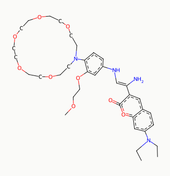 CCN(CC)c1ccc2cc(/C(N)=C/Nc3ccc(N4CCOCCOCCOCCOCCOCC4)c(OCCOC)c3)c(=O)oc2c1